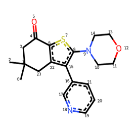 CC1(C)CC(=O)c2sc(N3CCOCC3)c(-c3[c]nccc3)c2C1